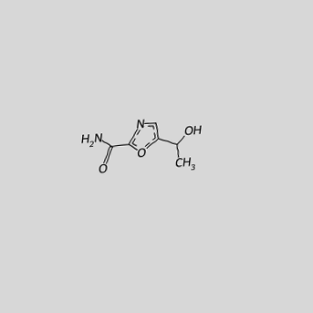 CC(O)c1cnc(C(N)=O)o1